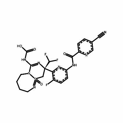 N#Cc1ccc(C(=O)Nc2ccc(F)c([C@]3(C(F)F)CS4(=O)=NCCCCN4C(NC(=O)O)=N3)n2)nc1